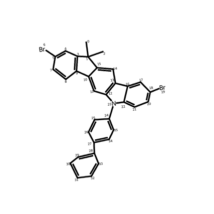 CC1(C)c2cc(Br)ccc2-c2cc3c(cc21)c1cc(Br)ccc1n3-c1ccc(-c2ccccc2)cc1